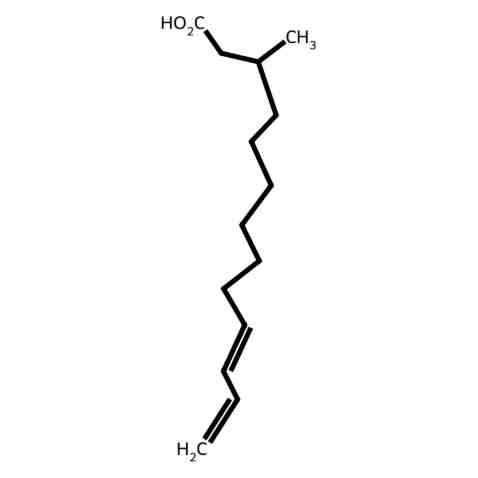 C=C/C=C/CCCCCCC(C)CC(=O)O